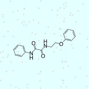 O=C(NCCOc1ccccc1)C(=O)Nc1ccccc1